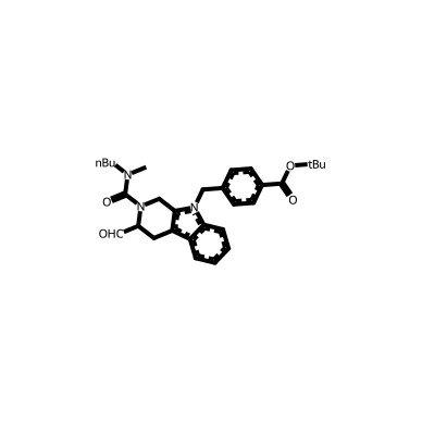 CCCCN(C)C(=O)N1Cc2c(c3ccccc3n2Cc2ccc(C(=O)OC(C)(C)C)cc2)CC1C=O